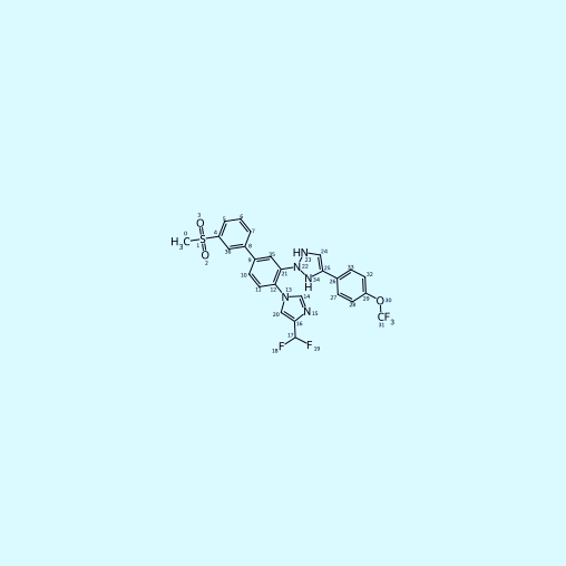 CS(=O)(=O)c1cccc(-c2ccc(-n3cnc(C(F)F)c3)c(N3NC=C(c4ccc(OC(F)(F)F)cc4)N3)c2)c1